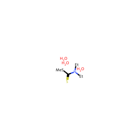 CCN(CC)C(=S)SC.O.O.O